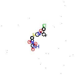 CC1(C)CCC(C(=O)N2CCCC(Sc3ccc4c(c3)CN(C3CCC(=O)NC3=O)C4=O)CC2)=C(c2ccc(Cl)cc2)C1